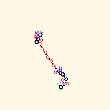 O=C1CCC(N2C(=O)c3cccc(OCCOCCOCCOCCOCCOCCNC(=O)c4cc5cc(N6CC[C@H](C(=O)NCc7cc(F)cc(F)c7)C6=O)ccc5[nH]4)c3C2=O)C(=O)N1